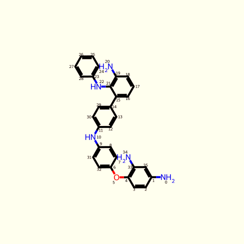 Nc1ccc(Oc2ccc(Nc3ccc(-c4cccc(N)c4Nc4ccccc4)cc3)cc2)c(N)c1